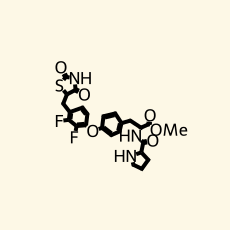 COC(=O)C(Cc1ccc(Oc2ccc(CC3SC(=O)NC3=O)c(F)c2F)cc1)NC(=O)C1CCCN1